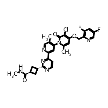 CNC(=O)[C@H]1C[C@H](c2nccc(-c3cc(-n4c(C)cc(OCc5ncc(F)cc5F)c(Cl)c4=O)c(C)cn3)n2)C1